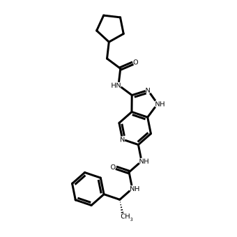 C[C@@H](NC(=O)Nc1cc2[nH]nc(NC(=O)CC3CCCC3)c2cn1)c1ccccc1